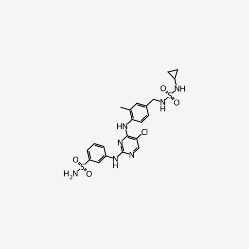 Cc1cc(CNS(=O)(=O)NC2CC2)ccc1Nc1nc(Nc2cccc(S(N)(=O)=O)c2)ncc1Cl